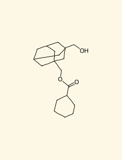 O=C(OCC12CC3CC(CC(CO)(C3)C1)C2)C1CCCCC1